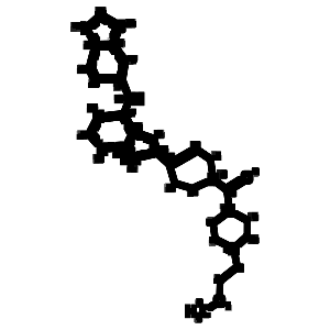 COCCN1CCN(C(=O)N2CC=C(c3cc4c(Nc5ccc6ncsc6c5)ncnc4[nH]3)CC2)CC1